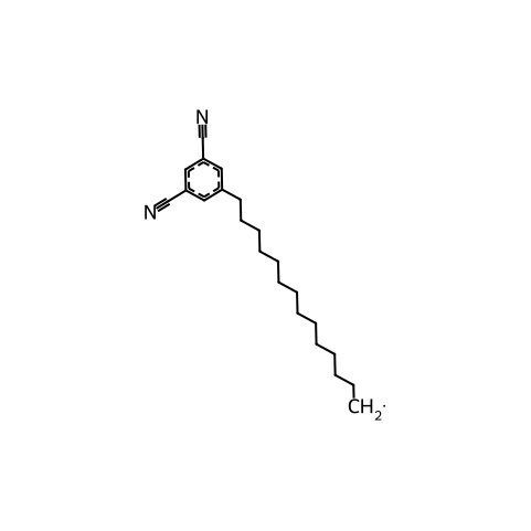 [CH2]CCCCCCCCCCCCCc1cc(C#N)cc(C#N)c1